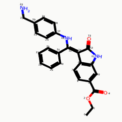 CCOC(=O)c1ccc2c(c1)NC(=O)/C2=C(\Nc1ccc(CN)cc1)c1ccccc1